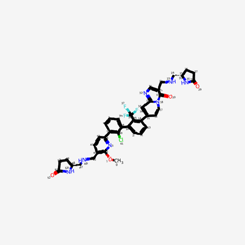 COc1nc(-c2cccc(-c3cccc(-c4ccn5c(=O)c(CNC[C@@H]6CCC(=O)N6)cnc5c4)c3C(F)(F)F)c2Cl)ccc1CNC[C@@H]1CCC(=O)N1